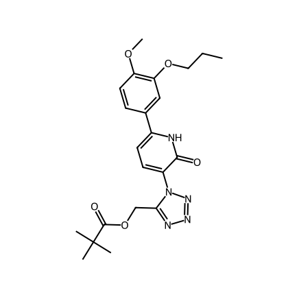 CCCOc1cc(-c2ccc(-n3nnnc3COC(=O)C(C)(C)C)c(=O)[nH]2)ccc1OC